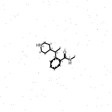 CNC(=O)c1ccccc1C(C)C1CCNCC1